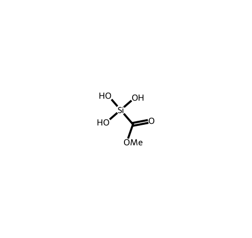 COC(=O)[Si](O)(O)O